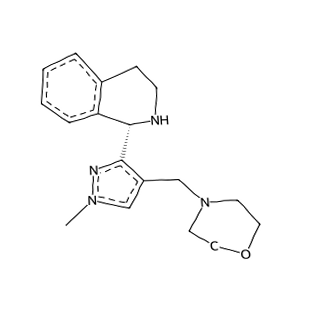 Cn1cc(CN2CCOCC2)c([C@H]2NCCc3ccccc32)n1